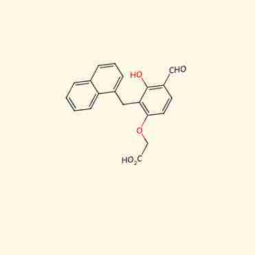 O=Cc1ccc(OCC(=O)O)c(Cc2cccc3ccccc23)c1O